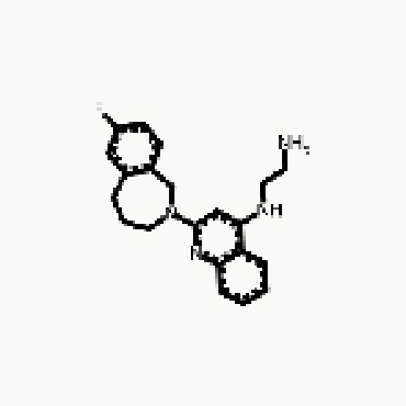 NCCNc1cc(N2CCCc3cc(F)ccc3C2)nc2ccccc12